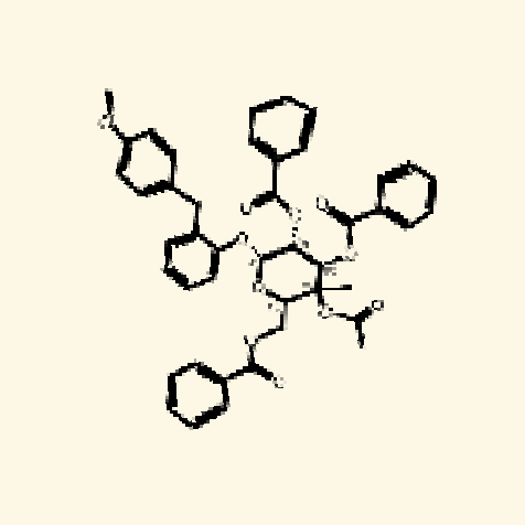 COc1ccc(Cc2ccccc2O[C@H]2O[C@H](COC(=O)c3ccccc3)[C@@](C)(OC(C)=O)[C@H](OC(=O)c3ccccc3)[C@H]2OC(=O)c2ccccc2)cc1